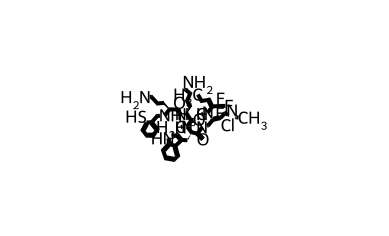 CC/C=C(\N(C)/C(CNC(=O)[C@H](Cc1c[nH]c2ccccc12)N(C)C(=O)[C@H](CCCCN)NC(=O)[C@H](CCCN)NCc1ccccc1S)=C(Cl)\C=N/CC)C(F)(F)F